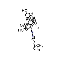 CC[C@H](C/C=C/C=N/OCCN(C)C)[C@@]1(C)CC[C@H]2[C@@H](CC[C@@H]3C[C@@H](O)CC[C@@]32C)C1=O.O=C(O)C(=O)O